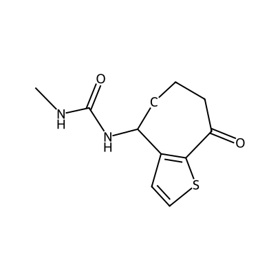 CNC(=O)NC1CCCC(=O)c2sccc21